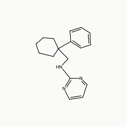 c1ccc(C2(CNc3ncccn3)CCCCC2)cc1